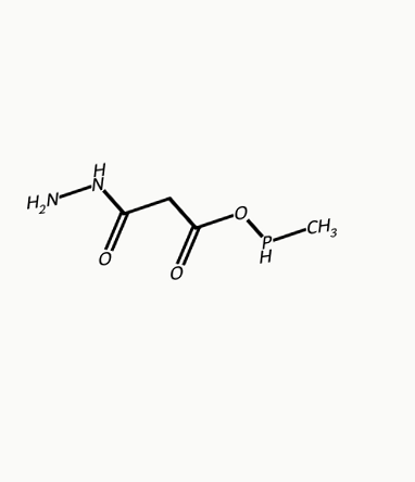 CPOC(=O)CC(=O)NN